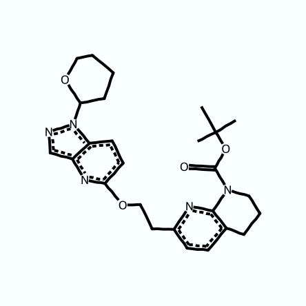 CC(C)(C)OC(=O)N1CCCc2ccc(CCOc3ccc4c(cnn4C4CCCCO4)n3)nc21